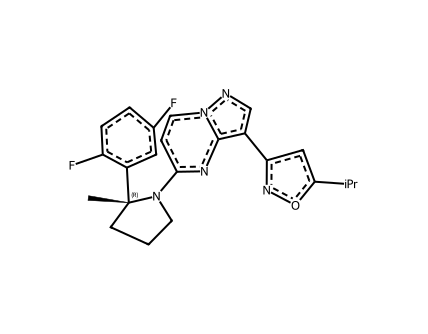 CC(C)c1cc(-c2cnn3ccc(N4CCC[C@]4(C)c4cc(F)ccc4F)nc23)no1